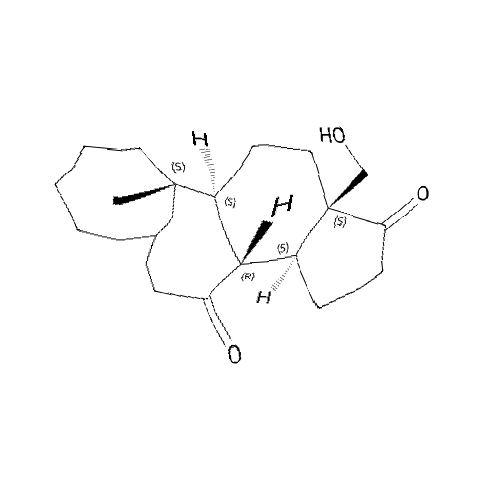 C[C@]12CCCCC1CC(=O)[C@H]1[C@@H]3CCC(=O)[C@@]3(CO)CC[C@@H]12